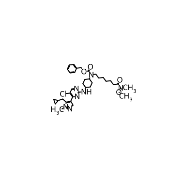 CON(C)C(=O)CCCCCCN(C(=O)OCc1ccccc1)C1CCC(Nc2ncc(Cl)c(-c3cnn(C)c3CC3CC3)n2)CC1